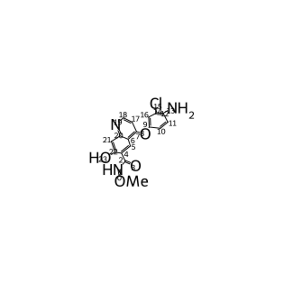 CONC(=O)c1cc2c(Oc3ccc(N)c(Cl)c3)ccnc2cc1O